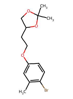 Cc1cc(OCCC2COC(C)(C)O2)ccc1Br